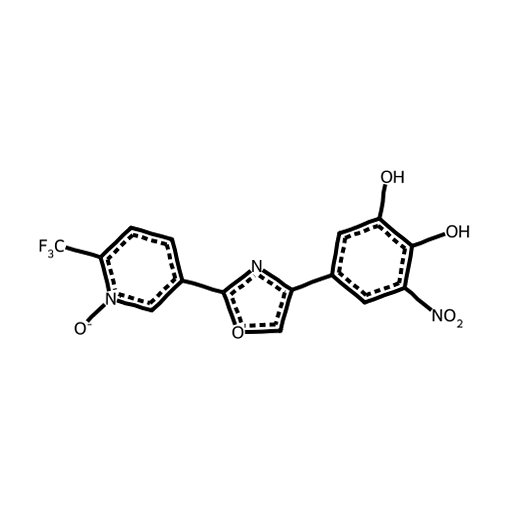 O=[N+]([O-])c1cc(-c2coc(-c3ccc(C(F)(F)F)[n+]([O-])c3)n2)cc(O)c1O